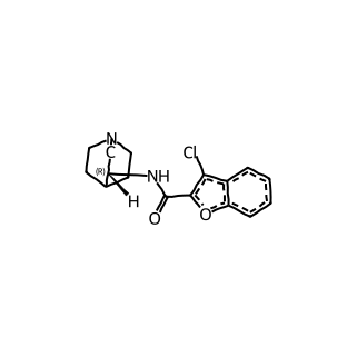 O=C(N[C@H]1CN2CCC1CC2)c1oc2ccccc2c1Cl